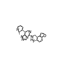 Cc1ncccc1-c1cnc(NCc2c(F)ccc3occc23)n2cnnc12